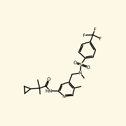 Cc1cnc(NC(=O)C(C)(C)C2CC2)cc1CN(C)S(=O)(=O)c1ccc(C(F)(F)F)cc1